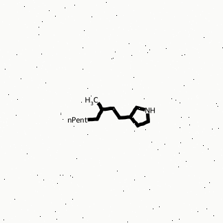 CCCCCCC(C)CCC1CCNC1